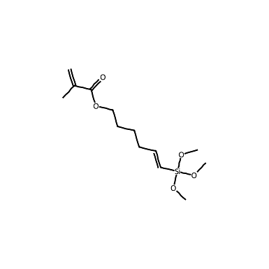 C=C(C)C(=O)OCCCCC=C[Si](OC)(OC)OC